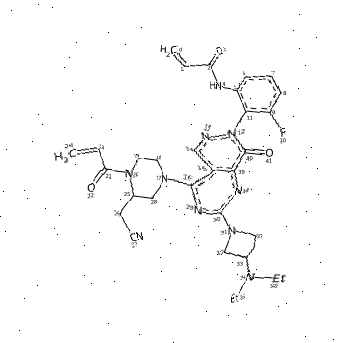 C=CC(=O)Nc1cccc(F)c1-n1ncc2c(N3CCN(C(=O)C=C)C(CC#N)C3)nc(N3CC(N(CC)CC)C3)nc2c1=O